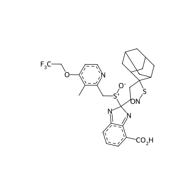 Cc1c(OCC(F)(F)F)ccnc1C[S+]([O-])C1(CCC2(SN=O)C3CC4CC(C3)CC2C4)N=c2cccc(C(=O)O)c2=N1